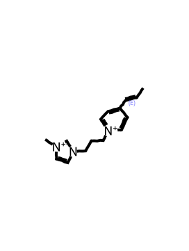 C/C=C/c1cc[n+](CCCn2cc[n+](C)c2)cc1